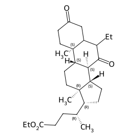 CCOC(=O)CC[C@@H](C)[C@H]1CC[C@H]2[C@@H]3C(=O)C(CC)C4CC(=O)CC[C@]4(C)[C@H]3CC[C@]12C